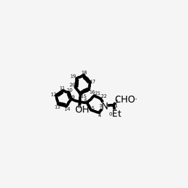 CCC([C]=O)N1CCC(C(O)(c2ccccc2)c2ccccc2)CC1